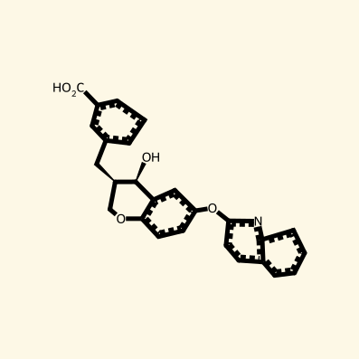 O=C(O)c1cccc(C[C@@H]2COc3ccc(Oc4ccc5ccccc5n4)cc3[C@@H]2O)c1